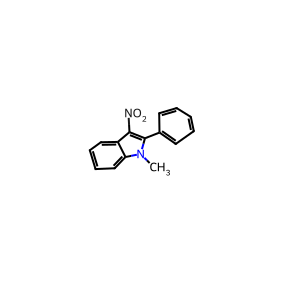 Cn1c(-c2ccccc2)c([N+](=O)[O-])c2ccccc21